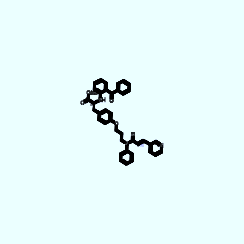 COC(=O)[C@H](Cc1ccc(OCCCN(C(=O)/C=C/c2cccnc2)c2ccccc2)cc1)Nc1ccccc1C(=O)c1ccccc1